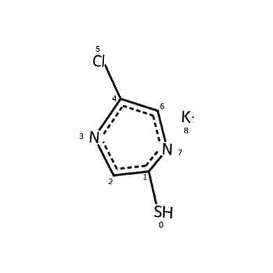 Sc1cnc(Cl)cn1.[K]